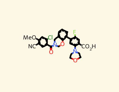 COc1cc(Cl)c(C(=O)N2COc3c(cccc3-c3cc(N4CCOCC4)c(C(=O)O)cc3F)C2)cc1C#N